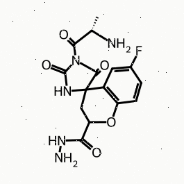 C[C@H](N)C(=O)N1C(=O)NC2(CC(C(=O)NN)Oc3ccc(F)cc32)C1=O